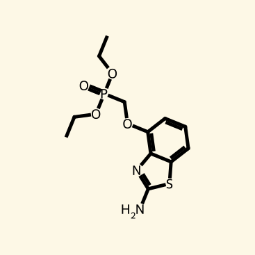 CCOP(=O)(COc1cccc2sc(N)nc12)OCC